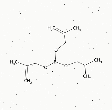 C=C(C)COB(OCC(=C)C)OCC(=C)C